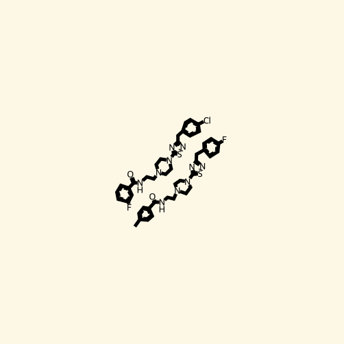 Cc1ccc(C(=O)NCCN2CCN(c3nc(Cc4ccc(F)cc4)ns3)CC2)cc1.O=C(NCCN1CCN(c2nc(Cc3ccc(Cl)cc3)ns2)CC1)c1cccc(F)c1